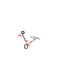 CN(C)CCOCCOC(=O)C1(COC(=O)CCCCC(OC(=O)Cl)c2ccccc2)CC/C=C/CCC1